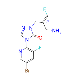 NC/C(=C/F)Cn1ncn(-c2ncc(Br)cc2F)c1=O